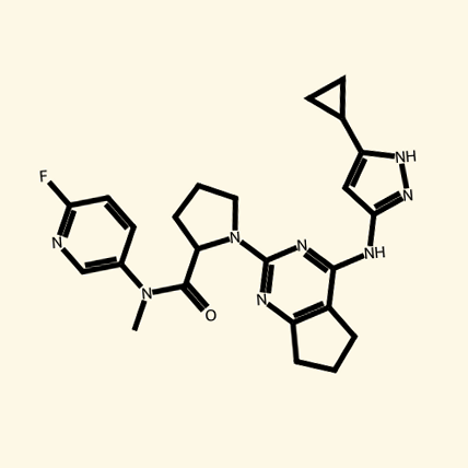 CN(C(=O)C1CCCN1c1nc2c(c(Nc3cc(C4CC4)[nH]n3)n1)CCC2)c1ccc(F)nc1